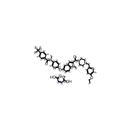 CCOc1ccc(CN2CCN(C(=O)c3cc4cc(Oc5ccc(N(C)C(=O)c6ccc(C(F)(F)F)cc6)cn5)ccc4n3C)CC2)nc1.O=C(O)/C=C\C(=O)O